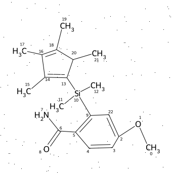 COc1ccc(C(N)=O)c([Si](C)(C)C2=C(C)C(C)=C(C)C2C)c1